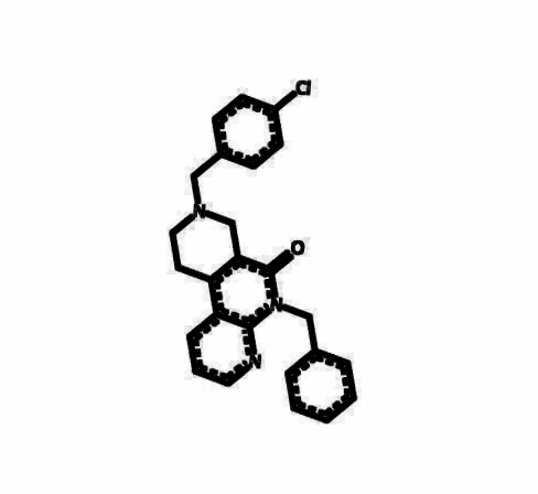 O=c1c2c(c3cccnc3n1Cc1ccccc1)CCN(Cc1ccc(Cl)cc1)C2